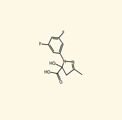 CC1=NN(c2cc(F)cc(F)c2)C(O)(C(=O)O)C1